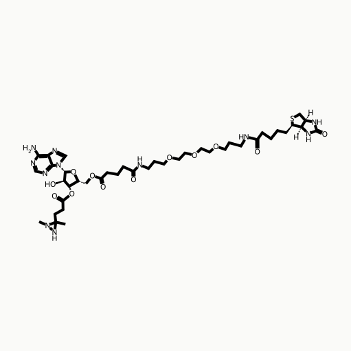 CN1NC1(C)CCC(=O)O[C@@H]1[C@@H](O)[C@H](n2cnc3c(N)ncnc32)O[C@@H]1COC(=O)CCCC(=O)NCCCOCCOCCOCCCNC(=O)CCCC[C@H]1SC[C@H]2NC(=O)N[C@H]21